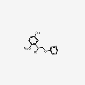 COc1ccc(O)cc1C(O)COc1cccnc1